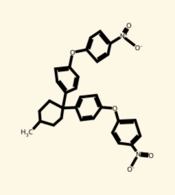 CC1CCC(c2ccc(Oc3ccc([N+](=O)[O-])cc3)cc2)(c2ccc(Oc3ccc([N+](=O)[O-])cc3)cc2)CC1